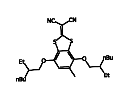 CCCCC(CC)COc1cc(C)c(OCC(CC)CCCC)c2c1SC(=C(C#N)C#N)S2